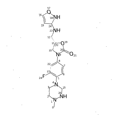 CN1CCN(c2ccc(N3C[C@H](CNC4C=CON4)OC3=O)cc2F)CN1